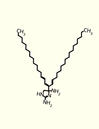 CCCCCCCCCCCCCC=CC=C(C=CCCCCCCCCCCCCCCC)C1(N)CNC(N)=N1